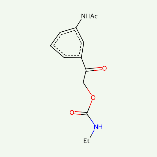 CCNC(=O)OCC(=O)c1cccc(NC(C)=O)c1